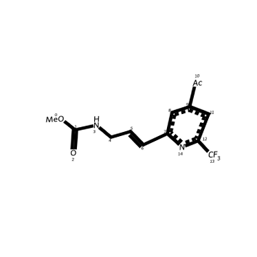 COC(=O)NC/C=C/c1cc(C(C)=O)cc(C(F)(F)F)n1